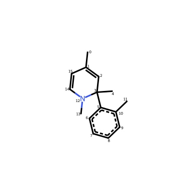 CC1=CC(C)(c2ccccc2C)N(C)C=C1